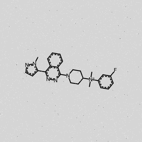 Cn1nccc1-c1nnc(N2CCC([N+](C)(C)c3cccc(F)c3)CC2)c2ccccc12